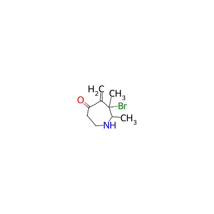 C=C1C(=O)CCNC(C)C1(C)Br